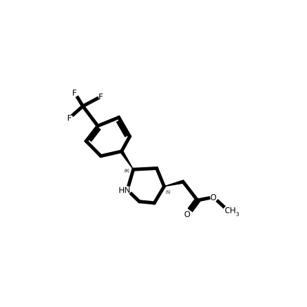 COC(=O)C[C@H]1CCN[C@@H](C2C=CC(C(F)(F)F)=CC2)C1